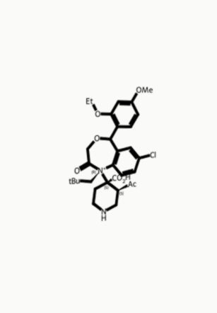 CCOc1cc(OC)ccc1C1OCC(=O)[N@@+](CC(C)(C)C)([C@@]2(C(=O)O)CCNC[C@@H]2C(C)=O)c2ccc(Cl)cc21